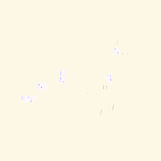 CS/C(=N/C=N)c1ccc([C@@H]2O[C@H](CN3CCOC[C@H]3CN(C)C)[C@H]3OC(C)(C)O[C@H]32)[nH]1